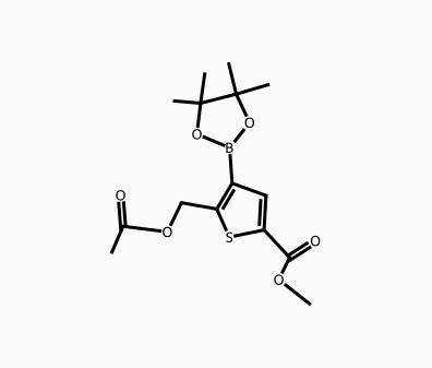 COC(=O)c1cc(B2OC(C)(C)C(C)(C)O2)c(COC(C)=O)s1